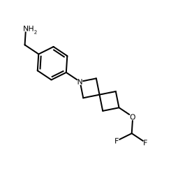 NCc1ccc(N2CC3(CC(OC(F)F)C3)C2)cc1